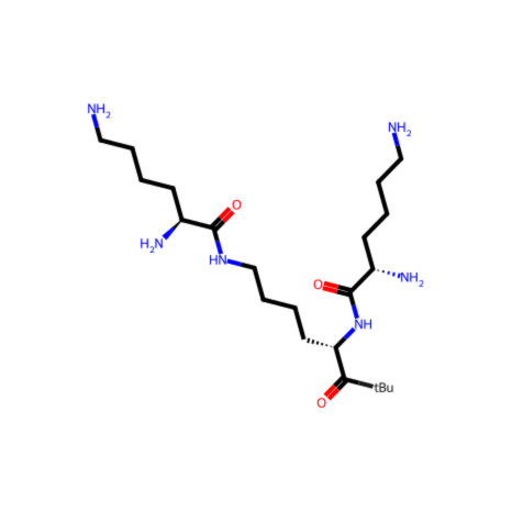 CC(C)(C)C(=O)[C@H](CCCCNC(=O)[C@@H](N)CCCCN)NC(=O)[C@@H](N)CCCCN